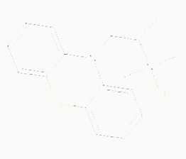 CC(CN1c2ccccc2Sc2ccccc21)[N+](C)(C)Cl